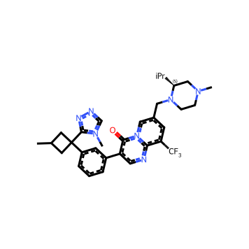 CC1CC(c2cccc(-c3cnc4c(C(F)(F)F)cc(CN5CCN(C)C[C@@H]5C(C)C)cn4c3=O)c2)(c2nncn2C)C1